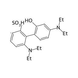 CCN(CC)c1ccc(-c2c(S(=O)(=O)O)[c]ccc2N(CC)CC)c(O)c1